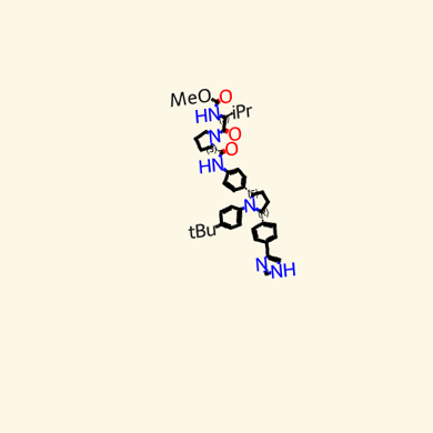 COC(=O)N[C@H](C(=O)N1CCC[C@H]1C(=O)Nc1ccc([C@@H]2CC[C@H](c3ccc(-c4c[nH]cn4)cc3)N2c2ccc(C(C)(C)C)cc2)cc1)C(C)C